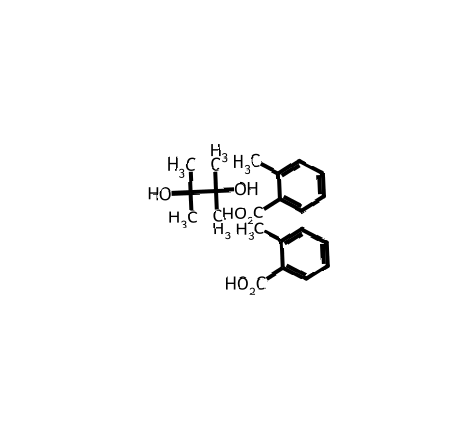 CC(C)(O)C(C)(C)O.Cc1ccccc1C(=O)O.Cc1ccccc1C(=O)O